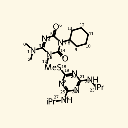 CN(C)c1nc(=O)n(C2CCCCC2)c(=O)n1C.CSc1nc(NC(C)C)nc(NC(C)C)n1